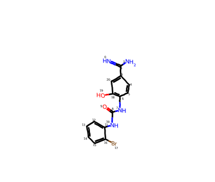 N=C(N)c1ccc(NC(=O)Nc2ccccc2Br)c(O)c1